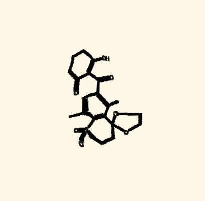 Cc1cc(C(=O)C2=C(O)CCCC2=O)c(C)c2c1S(=O)(=O)CCC21OCCO1